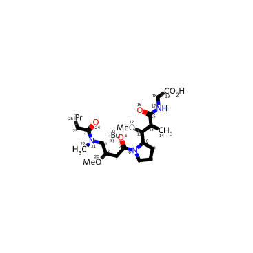 CC[C@H](C)C(C(CC(=O)N1CCCC1C(OC)C(C)C(=O)NCC(=O)O)OC)N(C)C(=O)CC(C)C